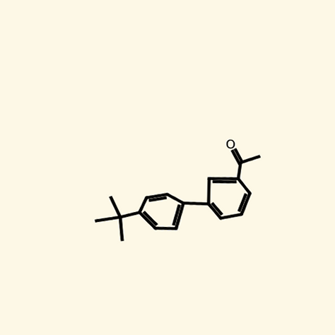 CC(=O)c1cccc(-c2ccc(C(C)(C)C)cc2)c1